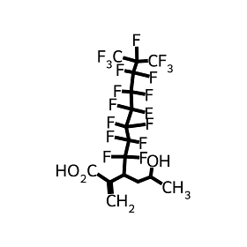 C=C(C(=O)O)C(CC(C)O)C(F)(F)C(F)(F)C(F)(F)C(F)(F)C(F)(F)C(F)(F)C(F)(C(F)(F)F)C(F)(F)F